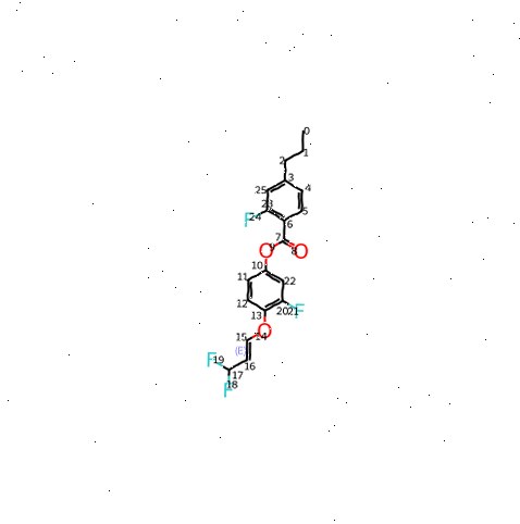 CCCc1ccc(C(=O)Oc2ccc(O/C=C/C(F)F)c(F)c2)c(F)c1